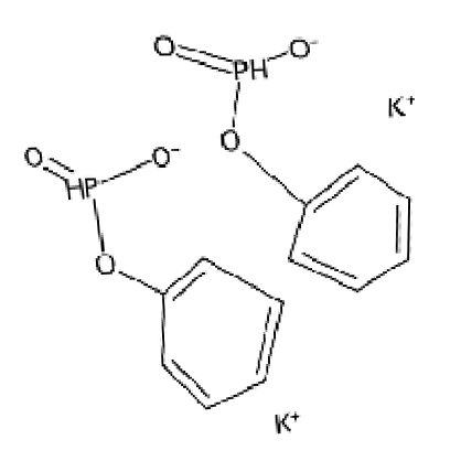 O=[PH]([O-])Oc1ccccc1.O=[PH]([O-])Oc1ccccc1.[K+].[K+]